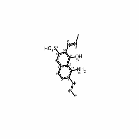 CN=Nc1ccc2cc(S(=O)(=O)O)c(N=NC)c(O)c2c1N